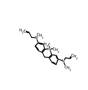 C=CCN(C)c1ccc2c(c1)[Si](C)(C)c1cc(N(C)CC=C)ccc1C2